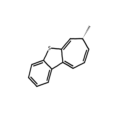 C[C@@H]1C=CC=c2c(sc3ccccc23)=C1